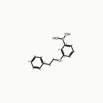 OB(O)c1cccc(OCCc2ccccc2)c1